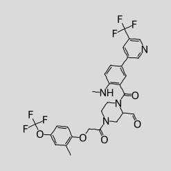 CNc1ccc(-c2cncc(C(F)(F)F)c2)cc1C(=O)N1CCN(C(=O)COc2ccc(OC(F)(F)F)cc2C)CC1C=O